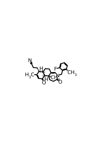 CC1=CC(=O)[C@H]2[C@@H](CCC3=CN(Cc4c(C)cccc4F)C(=O)CC[C@@]32C)[C@@H]1CCC#N